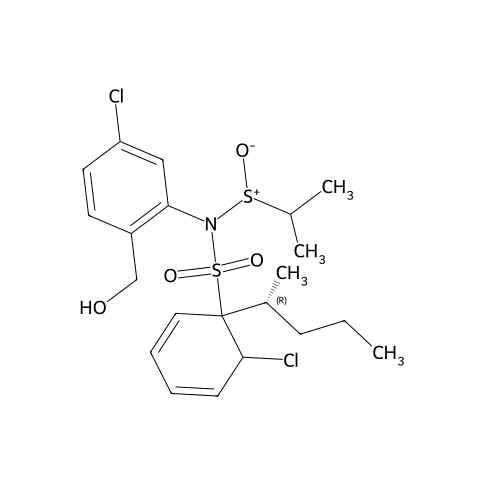 CCC[C@@H](C)C1(S(=O)(=O)N(c2cc(Cl)ccc2CO)[S+]([O-])C(C)C)C=CC=CC1Cl